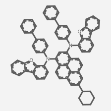 c1ccc(-c2ccc(N(c3cc(N(c4ccc(-c5ccccc5)cc4)c4cccc5c4oc4ccccc45)c4ccc5cc(C6CCCCC6)cc6ccc3c4c65)c3cccc4c3oc3ccccc34)cc2)cc1